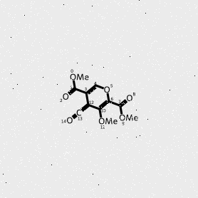 COC(=O)C1=COC(C(=O)OC)=C(OC)C1=C=O